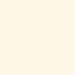 COc1c(N2CCC/C(=C(\F)CNC(=O)c3ccccc3C(C)=O)C2)c(F)cc2c(=O)c(C(C)=O)cn(C3CC3)c12